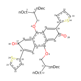 CCCCCCCCCCC(CCCCCCCC)COc1c2c(c(OCC(CCCCCCCC)CCCCCCCCCC)c3c1=CC(=O)C(c1cccs1)=C3)=CC(=O)C(c1cccs1)=C2